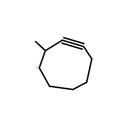 CC1C#CCCCC[CH]1